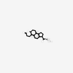 CC(C)(C)NC(=O)C1CC[C@H]2[C@@H]3CCC4OC(=O)CC[C@]4(C)[C@@H]3CC[C@]12C